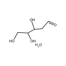 O.O=CCC(O)C(O)CO